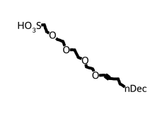 CCCCCCCCCCCCC#COCCOCCOCCOCCS(=O)(=O)O